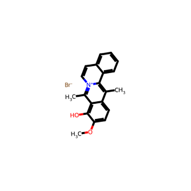 COc1ccc2c(C)c3c4ccccc4cc[n+]3c(C)c2c1O.[Br-]